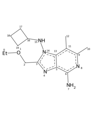 CCOCc1nc2c(N)nc(C)c(C)c2n1NC1CCC1